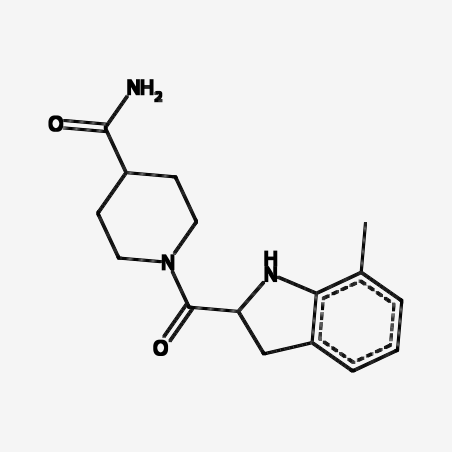 Cc1cccc2c1NC(C(=O)N1CCC(C(N)=O)CC1)C2